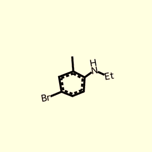 CCNc1ccc(Br)cc1C